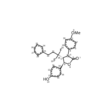 COc1ccc(N2C(=O)O[C@@H](c3ccc(O)cc3)[C@@H]2C(F)(F)CCc2ccccc2)cc1